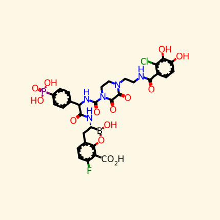 O=C(NCCN1CCN(C(=O)NC(C(=O)N[C@H]2Cc3ccc(F)c(C(=O)O)c3OB2O)c2ccc(P(=O)(O)O)cc2)C(=O)C1=O)c1ccc(O)c(O)c1Cl